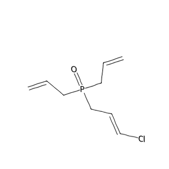 C=CCP(=O)(CC=C)CC=CCl